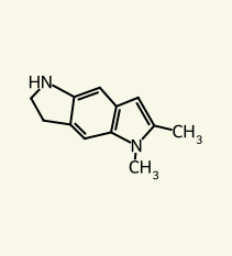 Cc1cc2cc3c(cc2n1C)CCN3